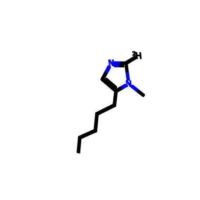 [2H]c1ncc(CCCCC)n1C